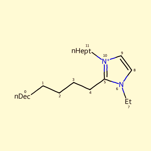 CCCCCCCCCCCCCCc1n(CC)cc[n+]1CCCCCCC